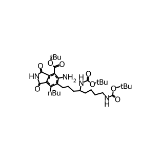 CCCCc1c(CCCC(CCCCNC(=O)OC(C)(C)C)NC(=O)OC(C)(C)C)c(N)c(C(=O)OC(C)(C)C)c2c1C(=O)NC2=O